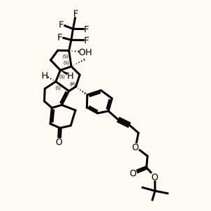 CC(C)(C)OC(=O)COCC#Cc1ccc([C@H]2C[C@@]3(C)[C@@H](CC[C@@]3(O)C(F)(F)C(F)(F)F)[C@@H]3CCC4=CC(=O)CCC4=C32)cc1